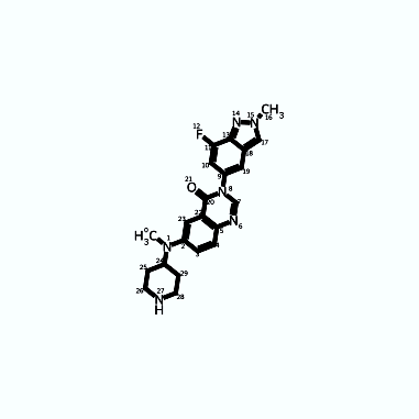 CN(c1ccc2ncn(-c3cc(F)c4nn(C)cc4c3)c(=O)c2c1)C1CCNCC1